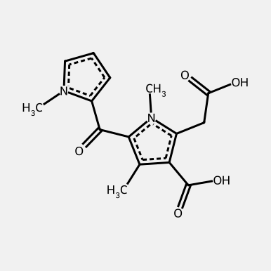 Cc1c(C(=O)O)c(CC(=O)O)n(C)c1C(=O)c1cccn1C